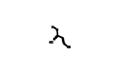 CCOC(=O)C=NC#N.Cl